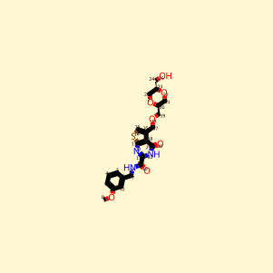 COc1cccc(CNC(=O)c2nc3scc(COC[C@@H]4CO[C@@H](CO)CO4)c3c(=O)[nH]2)c1